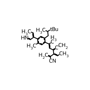 C=C=C(/C=C(\C)c1cc(C)c(/C(C=N)=C/C)cc1CC(C)C(C)(C)C)/C(=C\C)C(=C)C#N